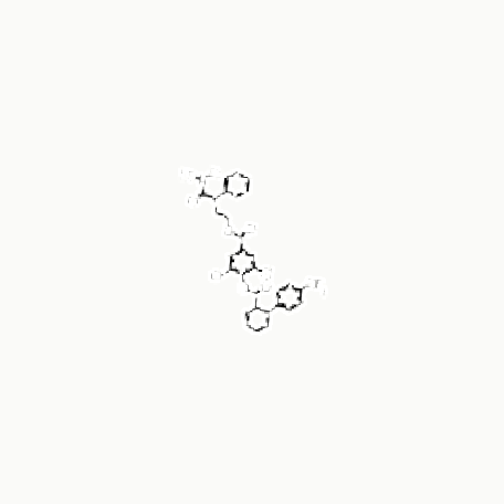 CCN(CC)C(=O)C(CCOC(=O)c1cc(Cl)c(OC(=O)c2ccccc2-c2ccc(C(F)(F)F)cc2)c(Cl)c1)c1ccccc1